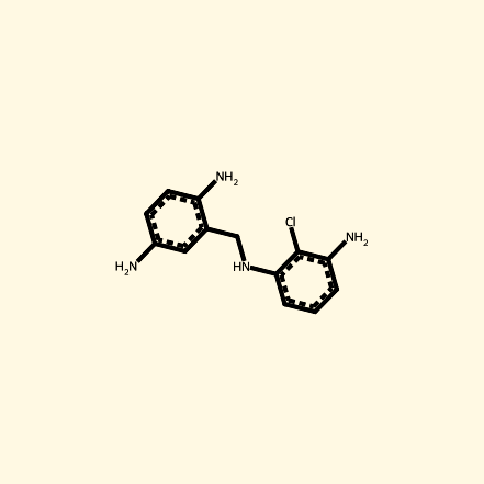 Nc1ccc(N)c(CNc2cccc(N)c2Cl)c1